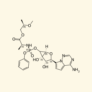 CO[C@H](C)COC(=O)[C@H](C)N[P@@](=O)(Oc1ccccc1)OC1[C@H]2O[C@@H](c3ccc4c(N)ncnn34)[C@H](O)[C@@]12O